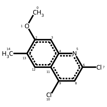 COc1cc2nc(Cl)cc(Cl)c2cc1C